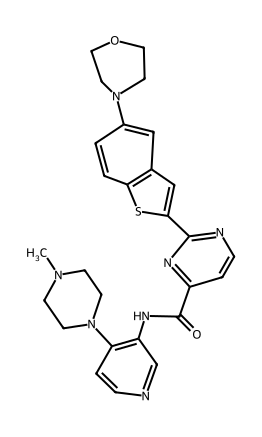 CN1CCN(c2ccncc2NC(=O)c2ccnc(-c3cc4cc(N5CCOCC5)ccc4s3)n2)CC1